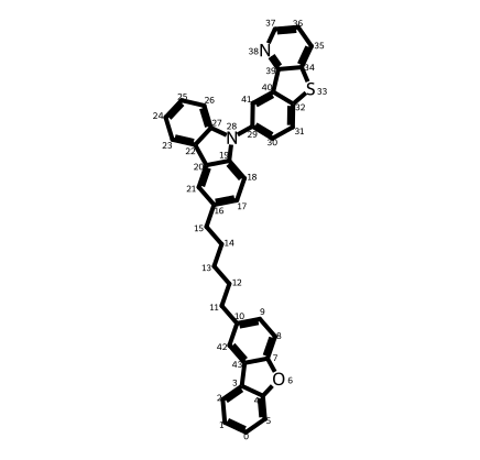 c1ccc2c(c1)oc1ccc(CCCCCc3ccc4c(c3)c3ccccc3n4-c3ccc4sc5cccnc5c4c3)cc12